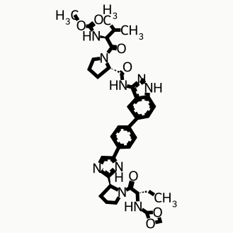 CC[C@H](NC1OCO1)C(=O)N1CCC[C@H]1c1ncc(-c2ccc(-c3ccc4[nH]nc(NC(=O)[C@@H]5CCCN5C(=O)[C@@H](NC(=O)OC)C(C)C)c4c3)cc2)[nH]1